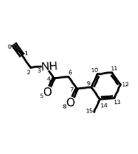 C#CCNC(=O)CC(=O)c1ccccc1C